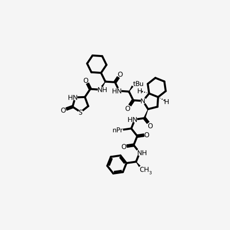 CCCC(NC(=O)[C@@H]1C[C@@H]2CCCC[C@@H]2N1C(=O)[C@@H](NC(=O)[C@@H](NC(=O)C1CSC(=O)N1)C1CCCCC1)C(C)(C)C)C(=O)C(=O)N[C@@H](C)c1ccccc1